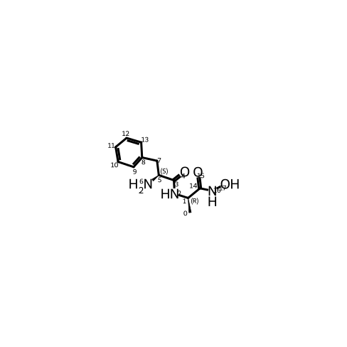 C[C@@H](NC(=O)[C@@H](N)Cc1ccccc1)C(=O)NO